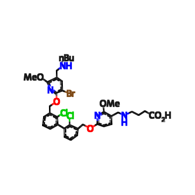 CCCCNCc1cc(Br)c(OCc2cccc(-c3cccc(COc4ccc(CNCCCC(=O)O)c(OC)n4)c3Cl)c2Cl)nc1OC